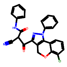 N#CC(C(=O)Nc1ccccc1)C(=O)c1nn(-c2ccccc2)c2c1COc1c(Cl)cccc1-2